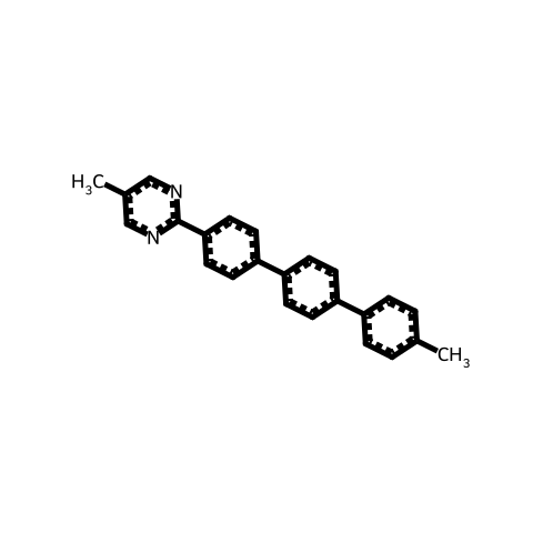 Cc1ccc(-c2ccc(-c3ccc(-c4ncc(C)cn4)cc3)cc2)cc1